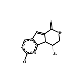 CC(C)(C)[C@H]1CNC(=O)C2=Cc3cnc(Cl)nc3C21